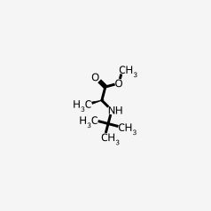 COC(=O)[C@H](C)NC(C)(C)C